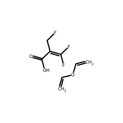 C=COC=C.O=C(O)C(CF)=C(F)F